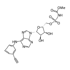 C#Cc1cccc(Nc2ncnc3c2ncn3[C@@H]2O[C@H](COS(=O)(=O)NC(=O)OC)[C@@H](O)[C@H]2O)c1